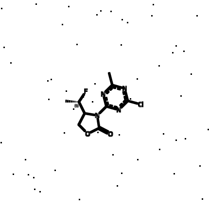 Cc1nc(Cl)nc(N2C(=O)OCC2[C@H](C)F)n1